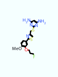 COc1ccc(-c2nc(CSc3nc(N)cc(N)n3)cs2)cc1OCCCF